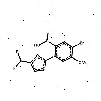 COc1cc(-c2ncc(C(F)F)o2)c(B(O)O)cc1Br